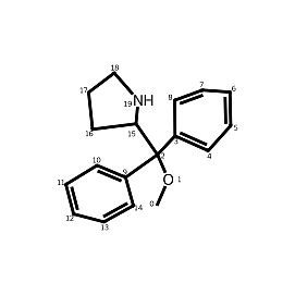 COC(c1ccccc1)(c1ccccc1)C1CCCN1